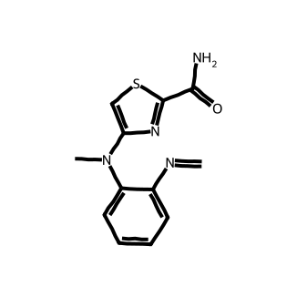 C=Nc1ccccc1N(C)c1csc(C(N)=O)n1